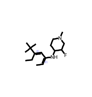 C/C=C(\C=C(/CC)C(C)(C)C)NC1CCN(C)CC1F